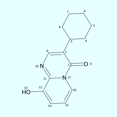 O=c1c(C2CCCCC2)cnc2c(O)cccn12